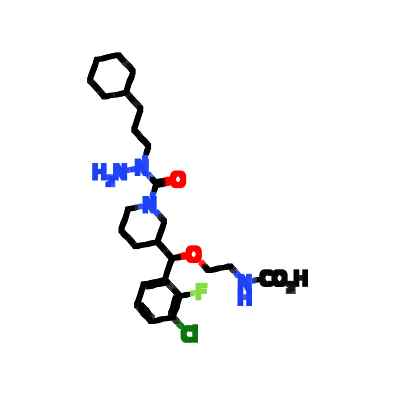 NN(CCCC1CCCCC1)C(=O)N1CCCC([C@@H](OCCNC(=O)O)c2cccc(Cl)c2F)C1